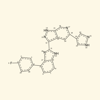 Fc1ccc(-c2cccc3[nH]c(-c4n[nH]c5cnc(-c6cn[nH]c6)cc45)nc23)cc1